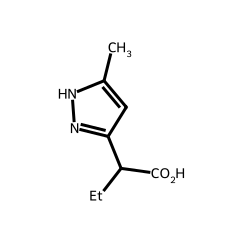 CCC(C(=O)O)c1cc(C)[nH]n1